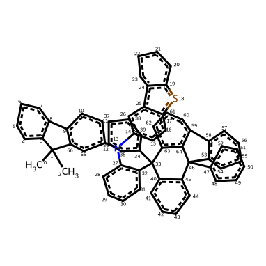 CC1(C)c2ccccc2-c2ccc(N(c3ccc4sc5ccccc5c4c3)c3ccccc3C3(c4ccccc4)c4ccccc4C4(c5ccccc5)c5ccccc5-c5cccc3c54)cc21